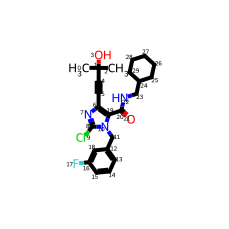 CC(C)(O)C#Cc1nc(Cl)n(Cc2cccc(F)c2)c1C(=O)NCC1CCCCC1